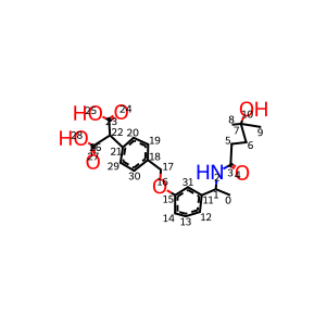 CC(NC(=O)CCC(C)(C)O)c1cccc(OCc2ccc(C(C(=O)O)C(=O)O)cc2)c1